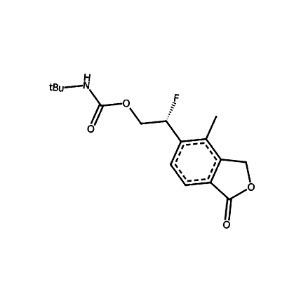 Cc1c([C@@H](F)COC(=O)NC(C)(C)C)ccc2c1COC2=O